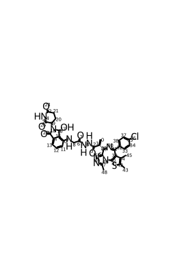 C=C(C(=O)NNC(=O)CNc1cccc2c1C(O)N(C1CCC(=O)NC1=O)C2=O)[C@@H]1N=C(c2ccc(Cl)cc2)c2c(sc(C)c2C)-n2c(C)nnc21